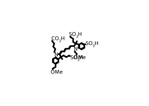 COCCc1ccc2c(c1)C(C)(CCCS(=O)(=O)O)\C(=C/C=C/C=C/C1=[N+](CCOC)c3ccc(S(=O)(=O)O)cc3C1(C)CCCS(=O)(=O)O)N2CCCCCC(=O)O